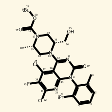 Cc1cccc(C(C)C)c1-n1c(=O)nc(N2C[C@H](C)N(C(=O)OC(C)(C)C)C[C@@H]2CO)c2c(Cl)c(F)c(Cl)nc21